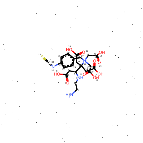 NCCNC(CC(=O)O)C(CC(=O)O)(CC(=O)O)[N+](CC(=O)O)(CC(=O)O)Cc1ccc(N=C=S)cc1